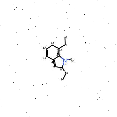 CCC1=C2C(=CC(CC)N2C)C=CC1